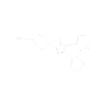 COc1ccc(-c2nc3c4cccnc4c4ncccc4c3[nH]2)cc1